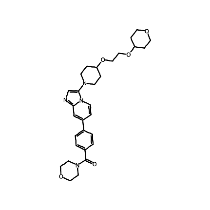 O=C(c1ccc(-c2ccn3c(N4CCC(OCCOC5CCOCC5)CC4)cnc3c2)cc1)N1CCOCC1